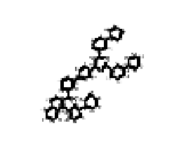 c1ccc(-c2cccc(-c3cc(-c4ccc(-c5cccc(-c6nc7c(-c8ccccc8)cccc7c7c6ccc6ccccc67)c5)cc4)nc(-c4cccc(-c5ccccc5)c4)n3)c2)cc1